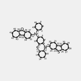 c1ccc(N(c2ccc3c(c2)Sc2ccccc2N3c2ccc3c(c2)sc2ccccc23)c2ccc3c(c2)oc2ccccc23)cc1